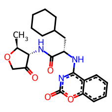 C[C@@H]1OCC(=O)[C@H]1NC(=O)[C@H](CC1CCCCC1)Nc1nc(=O)oc2ccccc12